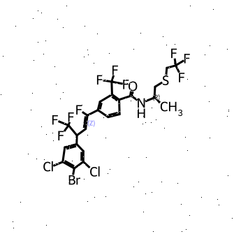 C[C@H](CSCC(F)(F)F)NC(=O)c1ccc(/C(F)=C/C(c2cc(Cl)c(Br)c(Cl)c2)C(F)(F)F)cc1C(F)(F)F